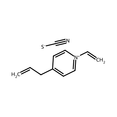 C=CCc1cc[n+](C=C)cc1.N#C[S-]